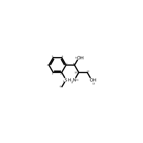 CSc1ccccc1C(O)C(N)CO